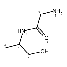 CC(CO)NC(=O)CN